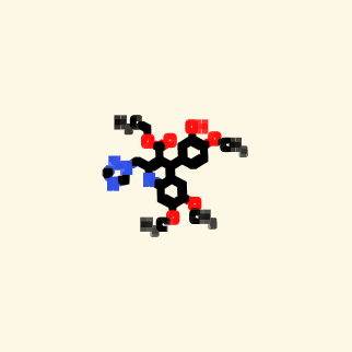 CCOC(=O)c1c(Cn2cncn2)nc2cc(OC)c(OC)cc2c1-c1ccc(OC)c(O)c1